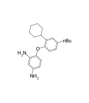 CCCCc1ccc(Oc2ccc(N)cc2N)c(C2CCCCC2)c1